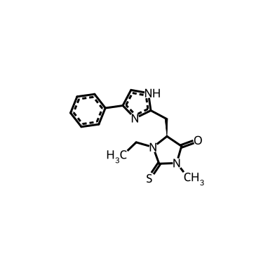 CCN1C(=S)N(C)C(=O)[C@@H]1Cc1nc(-c2ccccc2)c[nH]1